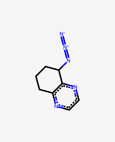 [N-]=[N+]=NC1CCCc2nccnc21